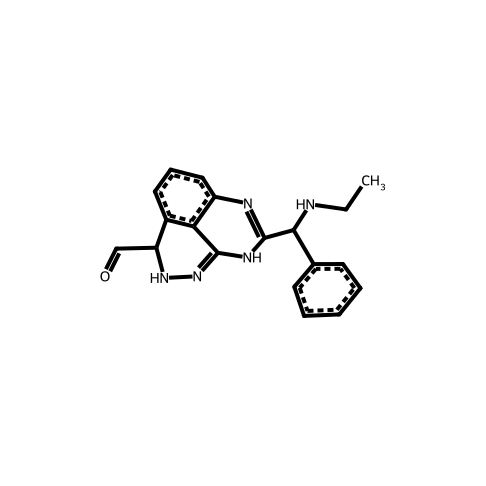 CCNC(C1=Nc2cccc3c2C(=NNC3C=O)N1)c1ccccc1